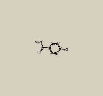 CNC(=O)c1cnc(Cl)nc1